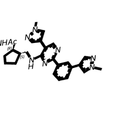 CC(=O)N[C@@H]1CCC[C@H]1CNc1nc(-c2cccc(-c3cnn(C)c3)c2)ncc1-c1cnn(C)c1